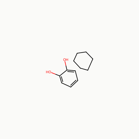 C1CCCCC1.Oc1ccccc1O